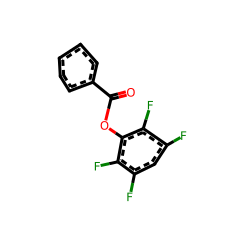 O=C(Oc1c(F)c(F)cc(F)c1F)c1ccccc1